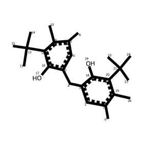 Cc1cc(Cc2cc(C)c(C)c(C(C)(C)C)c2O)c(O)c(C(C)(C)C)c1C